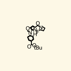 CC(C)(C)OC(=O)c1ccc(N2COc3cc(C(=O)N4CCCC4F)[nH]c32)cc1